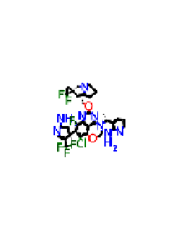 C[C@H](c1cccnc1N)N1CCOc2c(Cl)c([C@]3(C)CC(N)=NC=C3C(F)(F)F)c(F)c3nc(OC[C@@]45CCCN4C[C@]4(CC4(F)F)C5)nc1c23